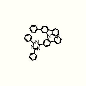 c1ccc(-c2ccc3c4ccccc4n(-c4cc(-c5nc(-c6ccccc6)nc(-c6ccccc6)n5)ccc4-c4cccnc4)c3c2)cc1